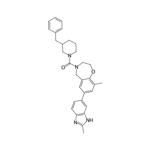 Cc1nc2ccc(-c3cc(C)c4c(c3)CN(C(=O)N3CCCC(Cc5ccccc5)C3)CCO4)cc2[nH]1